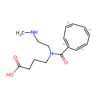 CNCCN(CCCC(=O)O)C(=O)C1=C/C=C\C=C/C=C\1